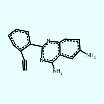 C#Cc1ccccc1-c1nc(N)c2cc(N)ccc2n1